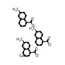 Cc1ccc2c(C(=O)[O-])cccc2c1.Cc1ccc2c(C(=O)[O-])cccc2c1.Cc1ccc2c(C(=O)[O-])cccc2c1.[Ga+3]